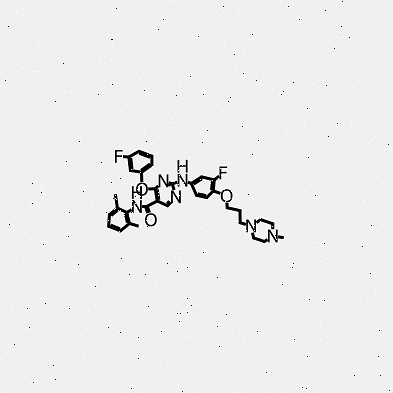 Cc1cccc(C)c1NC(=O)c1cnc(Nc2ccc(OCCCN3CCN(C)CC3)c(F)c2)nc1Oc1cccc(F)c1